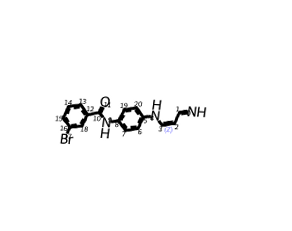 N=C/C=C\Nc1ccc(NC(=O)c2cccc(Br)c2)cc1